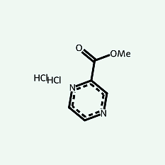 COC(=O)c1cnccn1.Cl.Cl